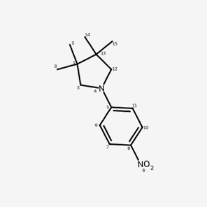 CC1(C)CN(c2ccc([N+](=O)[O-])cc2)CC1(C)C